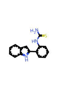 NC(=S)Nc1ccccc1-c1cc2ccccc2[nH]1